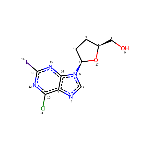 OC[C@@H]1CC[C@H](n2cnc3c(Cl)nc(I)nc32)O1